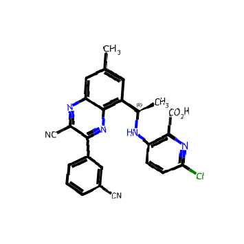 Cc1cc([C@@H](C)Nc2ccc(Cl)nc2C(=O)O)c2nc(-c3cccc(C#N)c3)c(C#N)nc2c1